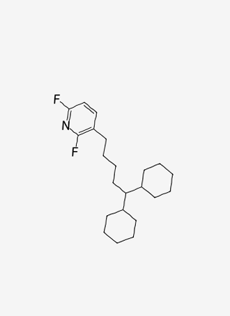 Fc1ccc(CCCCC(C2CCCCC2)C2CCCCC2)c(F)n1